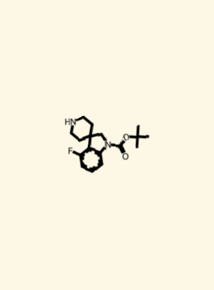 CC(C)(C)OC(=O)N1CC2(CCNCC2)c2c(F)cccc21